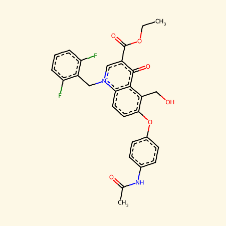 CCOC(=O)c1cn(Cc2c(F)cccc2F)c2ccc(Oc3ccc(NC(C)=O)cc3)c(CO)c2c1=O